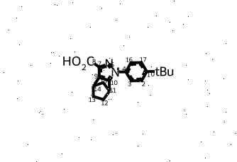 CC(C)(C)c1ccc(-n2nc(C(=O)O)c3c2C2CCC3C2)cc1